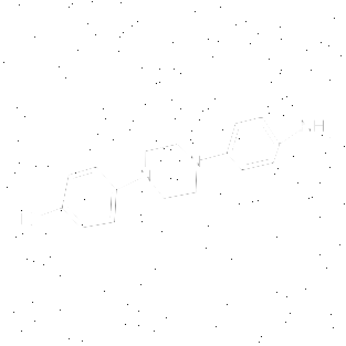 Nc1ccc(N2CCN(c3ccc(O)cc3)CC2)cc1